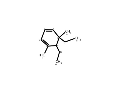 [CH]C1=CC=CC(C)(CC)C1CC